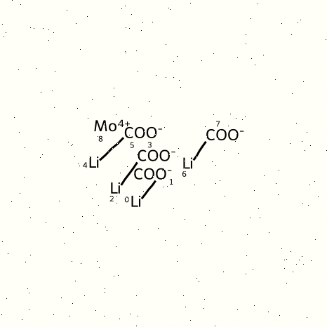 [Li][C](=O)[O-].[Li][C](=O)[O-].[Li][C](=O)[O-].[Li][C](=O)[O-].[Mo+4]